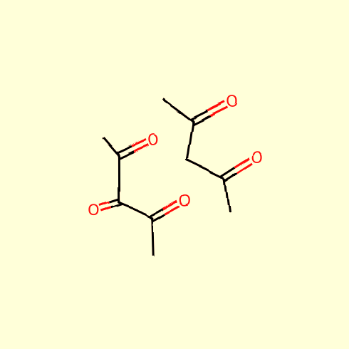 CC(=O)C(=O)C(C)=O.CC(=O)CC(C)=O